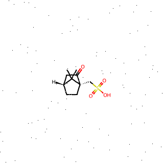 CC1(C)[C@@H]2CC[C@]1(CS(=O)(=O)O)C(=O)C2